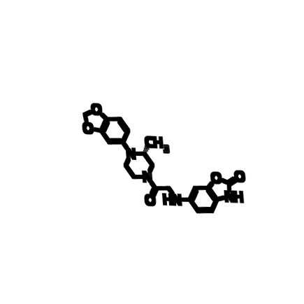 C[C@@H]1CN(C(=O)CNc2ccc3[nH]c(=O)oc3c2)CCN1c1ccc2c(c1)OCO2